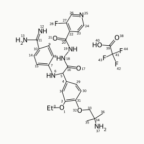 CCOc1cc(C(Nc2ccc(C(=N)N)cc2)C(=O)NNC(=O)c2ccncc2F)ccc1OCC(C)(C)N.O=C(O)C(F)(F)F